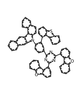 c1ccc2cc3c(cc2c1)c1c2ccccc2ccc1n3-c1ccc(-c2nc(-c3cccc4oc5ccccc5c34)nc(-c3cccc4oc5ccccc5c34)n2)cc1-c1cccc2sc3ccccc3c12